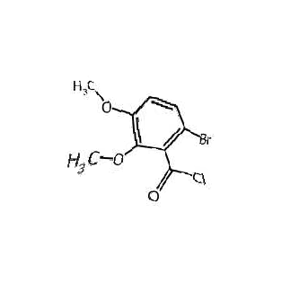 COc1ccc(Br)c(C(=O)Cl)c1OC